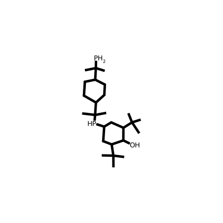 CC(C)(C)C1CC(PC(C)(C)C2CCC(C(C)(C)P)CC2)CC(C(C)(C)C)C1O